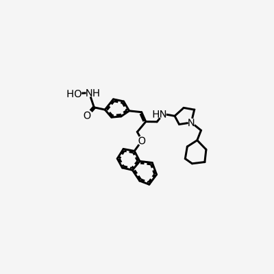 O=C(NO)c1ccc(/C=C(/CNC2CCN(CC3CCCCC3)C2)COc2cccc3ccccc23)cc1